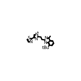 Cc1nc(CCc2nc(-c3nccs3)cn2C)nc2c(C(C)(C)C)cccc12